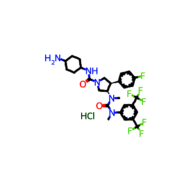 CN(C(=O)N(C)[C@@H]1CN(C(=O)NC2CCC(N)CC2)C[C@H]1c1ccc(F)cc1)c1cc(C(F)(F)F)cc(C(F)(F)F)c1.Cl